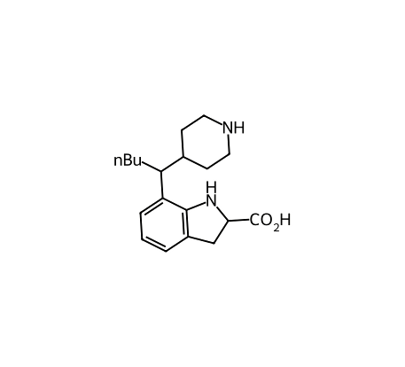 CCCCC(c1cccc2c1NC(C(=O)O)C2)C1CCNCC1